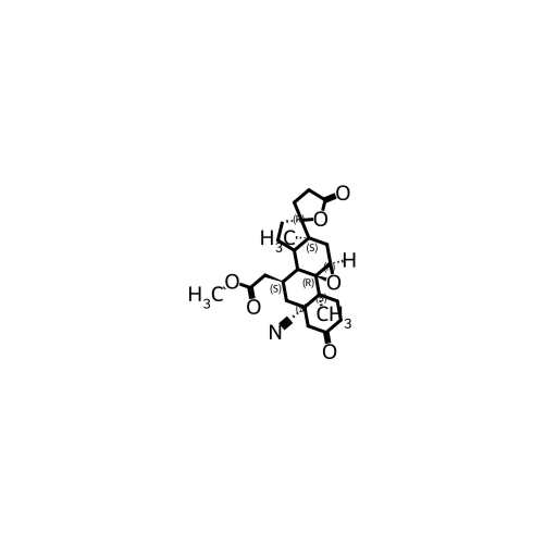 COC(=O)C[C@@H]1C[C@]2(C#N)CC(=O)CC[C@]2(C)[C@@]23O[C@@H]2C[C@@]2(C)C(CC[C@@]24CCC(=O)O4)C13